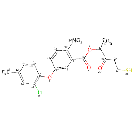 CC(OC(=O)c1cc(Oc2ccc(C(F)(F)F)cc2Cl)ccc1[N+](=O)[O-])C(=O)CCS